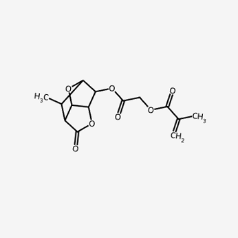 C=C(C)C(=O)OCC(=O)OC1C2OC3C1OC(=O)C3C2C